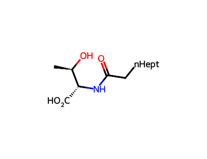 CCCCCCCCC(=O)N[C@H](C(=O)O)[C@@H](C)O